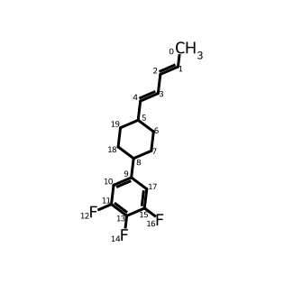 CC=CC=CC1CCC(c2cc(F)c(F)c(F)c2)CC1